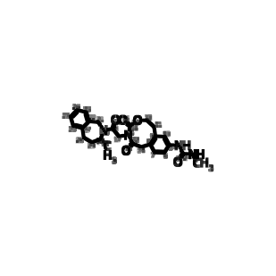 CNC(=O)Nc1ccc2c(c1)CCOC(=O)N(CC(=O)N1Cc3ccccc3CC[C@H]1C)C(=O)C2